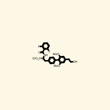 CCOC(=O)[C@H](Cc1ccc(-c2c(OC)cc(CCO)cc2OC)cc1)NC(=O)c1c(F)cccc1F